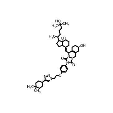 CC(CCCC(C)(C)O)C1CCC2/C(=C/C3C4=C(C[C@@H](O)CC4)Cn4c(=O)n(-c5ccc(OCCn6cc(C7CCC(C)(C)CC7)nn6)cc5)c(=O)n43)CCC[C@@]21C